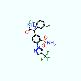 NC(=O)C(c1ccc(-n2cc(C(F)(F)F)cn2)c(S(N)(=O)=O)c1)c1cc(F)ccc1Cl